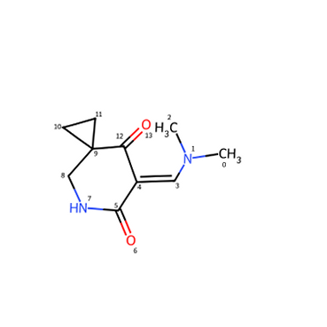 CN(C)/C=C1/C(=O)NCC2(CC2)C1=O